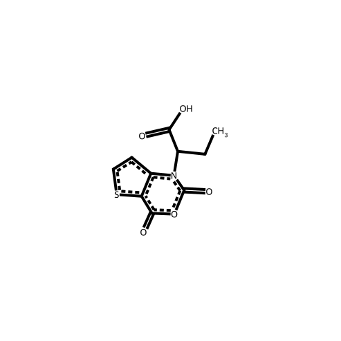 CCC(C(=O)O)n1c(=O)oc(=O)c2sccc21